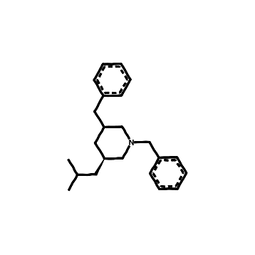 C[C](C)C[C@H]1CC(Cc2ccccc2)CN(Cc2ccccc2)C1